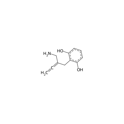 C=C=C(CN)Cc1c(O)cccc1O